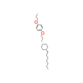 CCCCCCC[C@H]1CC[C@H](CCCOc2ccc(OCCC)cc2)CC1